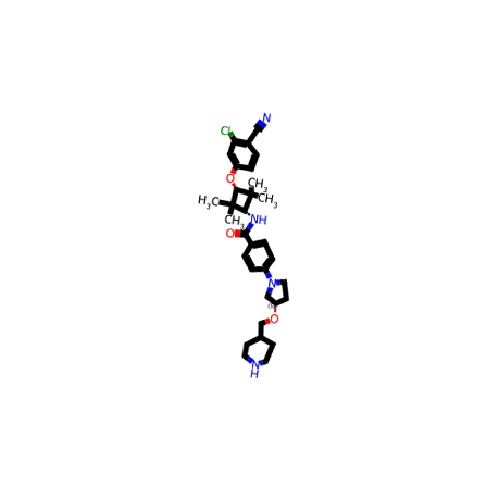 CC1(C)[C@H](NC(=O)c2ccc(N3CC[C@H](OCC4CCNCC4)C3)cc2)C(C)(C)[C@H]1Oc1ccc(C#N)c(Cl)c1